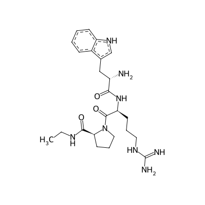 CCNC(=O)[C@@H]1CCCN1C(=O)[C@H](CCCNC(=N)N)NC(=O)[C@@H](N)Cc1c[nH]c2ccccc12